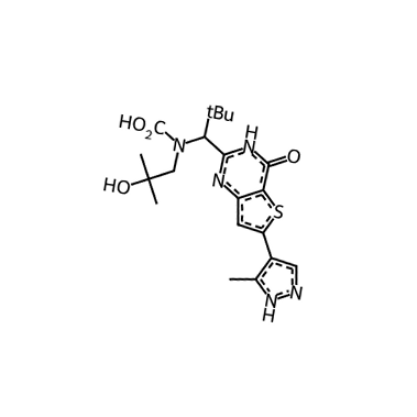 Cc1[nH]ncc1-c1cc2nc(C(N(CC(C)(C)O)C(=O)O)C(C)(C)C)[nH]c(=O)c2s1